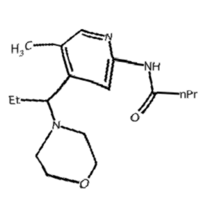 CCCC(=O)Nc1cc(C(CC)N2CCOCC2)c(C)cn1